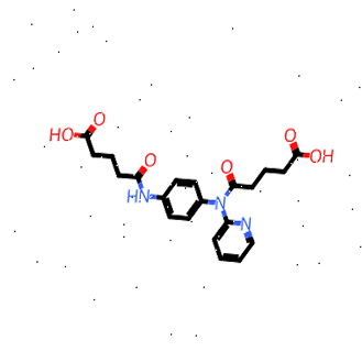 O=C(O)CCCC(=O)Nc1ccc(N(C(=O)CCCC(=O)O)c2ccccn2)cc1